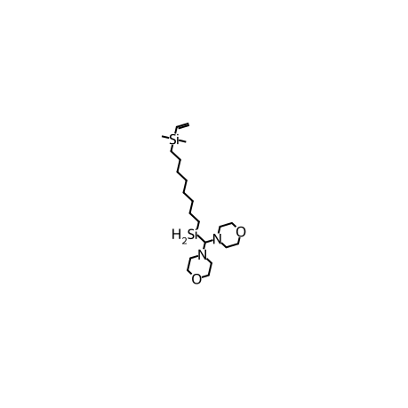 C=C[Si](C)(C)CCCCCCCC[SiH2]C(N1CCOCC1)N1CCOCC1